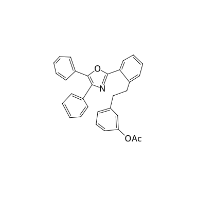 CC(=O)Oc1cccc(CCc2ccccc2-c2nc(-c3ccccc3)c(-c3ccccc3)o2)c1